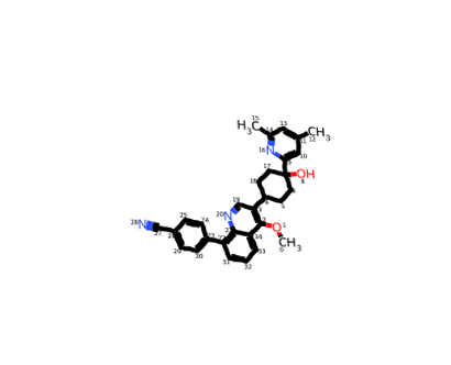 COc1c(C2CCC(O)(c3cc(C)cc(C)n3)CC2)cnc2c(-c3ccc(C#N)cc3)cccc12